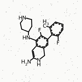 Cc1cccc(F)c1-c1cc2c(c(NC3CCNCC3)c1F)C=C(N)NC2